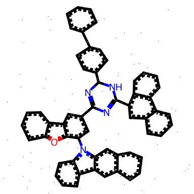 c1ccc(-c2ccc(C3N=C(c4cc(-n5c6ccccc6c6cc7ccccc7cc65)c5oc6ccccc6c5c4)N=C(c4cc5ccccc5c5ccccc45)N3)cc2)cc1